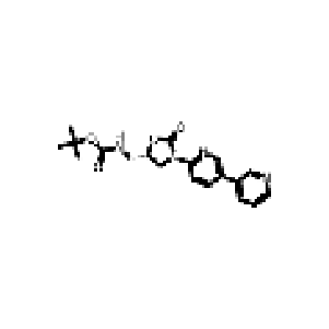 CC(C)(C)OC(=O)NC[C@H]1CN(c2ccc(-c3cccnc3)cn2)C(=O)O1